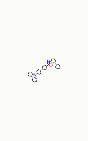 c1ccc(-c2cccc3nc(-c4ccc(-c5ccc(-n6c7ccccc7c7ccccc76)cc5)cc4)oc23)cc1